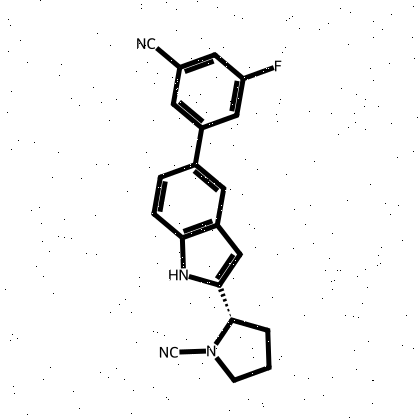 N#Cc1cc(F)cc(-c2ccc3[nH]c([C@@H]4CCCN4C#N)cc3c2)c1